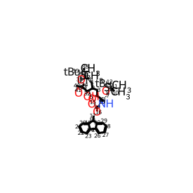 CC(C)CC(CC(=O)[C@H](CO[Si](C)(C)C(C)(C)C)NC(=O)OCC1c2ccccc2-c2ccccc21)C(O)[C@@]1(CO[Si](C)(C)C(C)(C)C)CO1